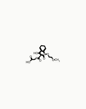 COCCOn1c(=O)c(C(=O)NCC(=O)O)c(O)c2c1=CCCC=2